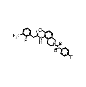 O=C(Cc1cccc(C(F)(F)F)c1F)Nc1c(Cl)ccc2c1CCN(S(=O)(=O)c1ccc(F)cc1)C2